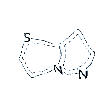 c1cc2sccn2n1